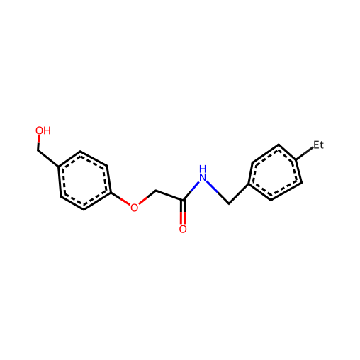 CCc1ccc(CNC(=O)COc2ccc(CO)cc2)cc1